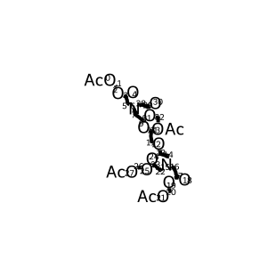 CC(=O)OCOC(=O)CN(CCOCCOCCN(CC(=O)OCOC(C)=O)CC(=O)OCOC(C)=O)CC(=O)OCOC(C)=O